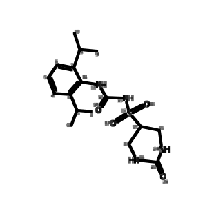 CC(C)c1cccc(C(C)C)c1NC(=O)NS(=O)(=O)C1CNC(=O)NC1